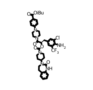 CC(C)COC(=O)c1ccc(N2CCN(C(=O)[C@@H](Cc3cc(Cl)c(N)c(C(F)(F)F)c3)OC(=O)N3CCC(N4CCc5ccccc5NC4=O)CC3)CC2)cc1